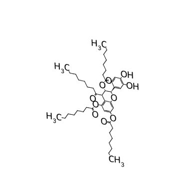 CCCCCCCC(=O)Oc1cc(OC(=O)CCCCCCC)c2c(c1)O[C@H](c1ccc(O)c(O)c1)[C@@H](OC(=O)CCCCCCC)C2C(=O)CCCCCCC